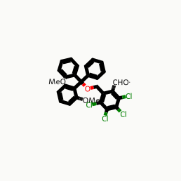 COc1ccccc1C(OCc1c(Cl)c(Cl)c(Cl)c(Cl)c1[C]=O)(c1ccccc1)c1ccccc1OC